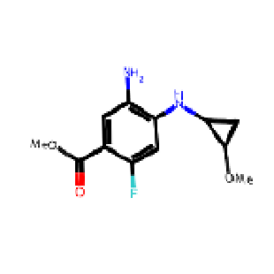 COC(=O)c1cc(N)c(NC2CC2OC)cc1F